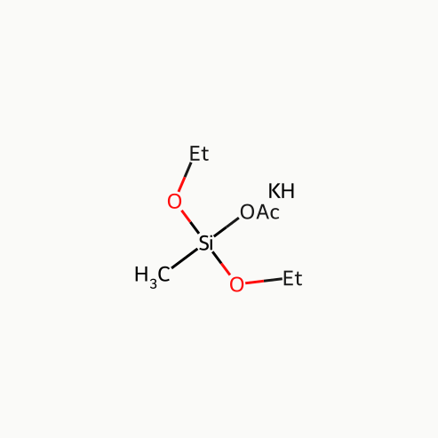 CCO[Si](C)(OCC)OC(C)=O.[KH]